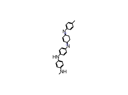 CNc1ccc(Nc2ccc(/N=C3C=C/C(=N/c4ccc(C)cc4)CC\3)cc2)cc1